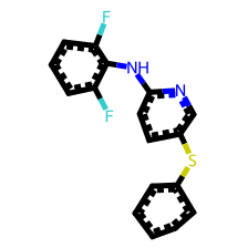 Fc1cccc(F)c1Nc1ccc(Sc2ccccc2)cn1